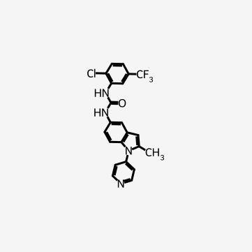 Cc1cc2cc(NC(=O)Nc3cc(C(F)(F)F)ccc3Cl)ccc2n1-c1ccncc1